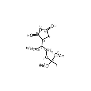 CCCCCCCC([SiH2]OC(C)(OC)OC)C1CC(=O)OC1=O